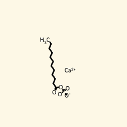 CCCCCCCCCCCC(=O)OP(=O)([O-])[O-].[Ca+2]